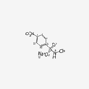 O=[N+]([O-])c1ccc(S(=O)(=O)NCl)cc1.[Na+]